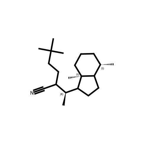 C[C@@H](C(C#N)CCC(C)(C)C)C1CCC2[C@@H](C)CCC[C@]12C